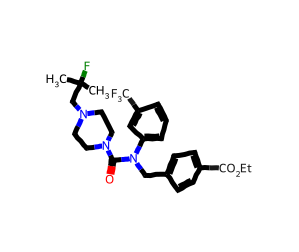 CCOC(=O)c1ccc(CN(C(=O)N2CCN(CC(C)(C)F)CC2)c2cccc(C(F)(F)F)c2)cc1